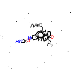 COC[C@@H]1CC2C/C(=N/O[C@@H]3CCNC3)CC[C@]2(C)[C@H]2CC[C@]3(C)C(=O)CC[C@H]3[C@H]12